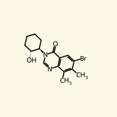 Cc1c(Br)cc2c(=O)n([C@@H]3CCCC[C@H]3O)cnc2c1C